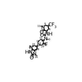 CN(C(=O)Nc1cc(C(F)(F)F)cn(C)c1=O)[C@@H]1CCN(c2cnc3[nH]c(=O)n(C)c3c2)C[C@@H]1F